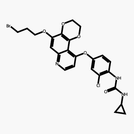 O=C(Nc1ccc(Oc2ccnc3cc(OCCCBr)c4c(c23)OCCO4)cc1Cl)NC1CC1